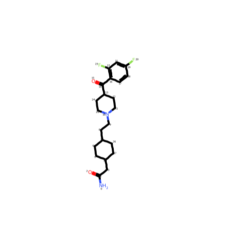 NC(=O)CC1CCC(CCN2CCC(C(=O)c3ccc(F)cc3F)CC2)CC1